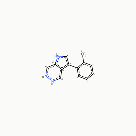 FC(F)(F)c1ccccc1-c1c[nH]c2cnncc12